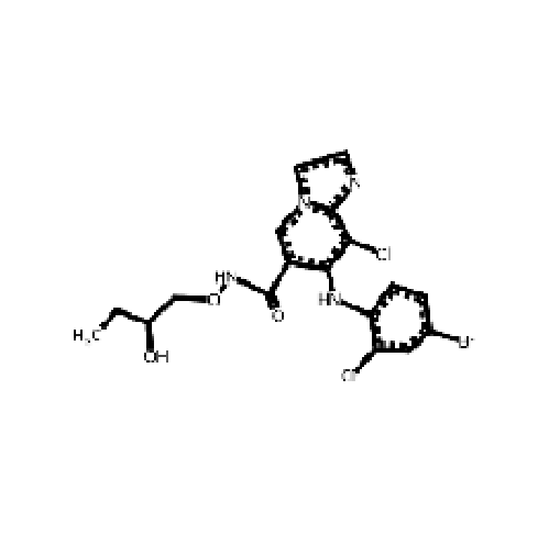 CCC(O)CONC(=O)c1cn2ccnc2c(Cl)c1Nc1ccc(Br)cc1Cl